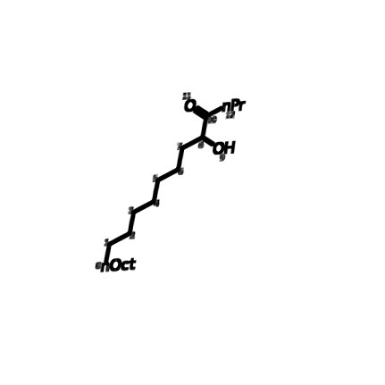 CCCCCCCCCCCCCCCC(O)C(=O)CCC